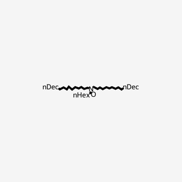 CCCCCCCCCCCCCCCCCCCCN(CCCCCCCCCCCCCCCCCCCC)C(=O)CCCCCC